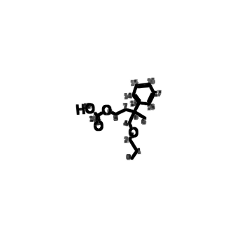 CCCOCC(C)(CCOC(=O)O)c1ccccc1